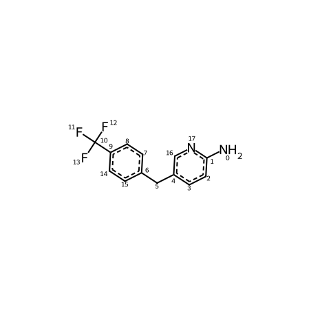 Nc1ccc(Cc2ccc(C(F)(F)F)cc2)cn1